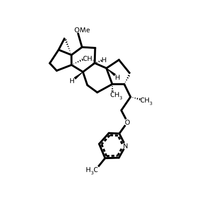 COC1C[C@H]2[C@@H]3CC[C@H]([C@H](C)COc4ccc(C)cn4)[C@@]3(C)CC[C@@H]2[C@@]2(C)CCC3C[C@]312